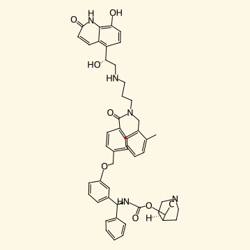 Cc1ccccc1CN(CCCNC[C@H](O)c1ccc(O)c2[nH]c(=O)ccc12)C(=O)c1ccc(COc2cccc([C@@H](NC(=O)O[C@H]3CN4CCC3CC4)c3ccccc3)c2)cc1